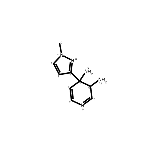 Cn1ccc(C2(N)C=CN=CC2N)n1